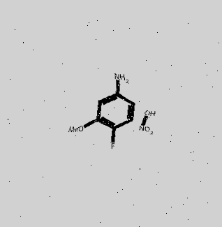 COc1cc(N)ccc1F.O=[N+]([O-])O